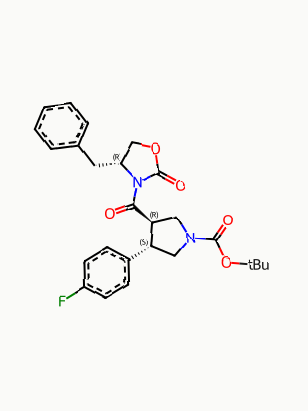 CC(C)(C)OC(=O)N1C[C@H](C(=O)N2C(=O)OC[C@H]2Cc2ccccc2)[C@@H](c2ccc(F)cc2)C1